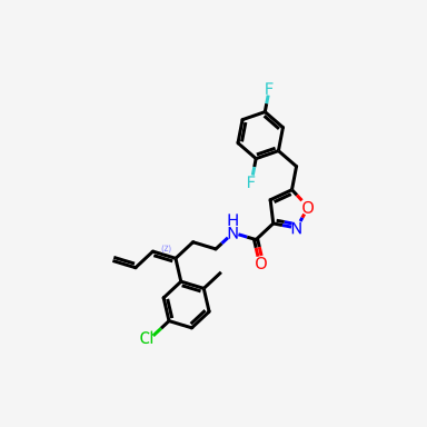 C=C/C=C(/CCNC(=O)c1cc(Cc2cc(F)ccc2F)on1)c1cc(Cl)ccc1C